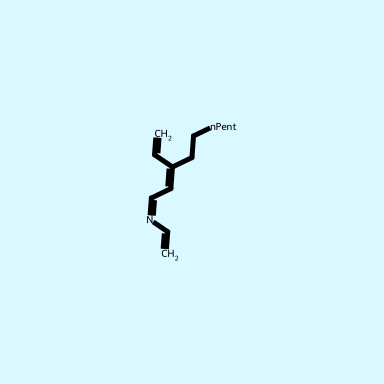 C=C/N=C\C=C(/C=C)CCCCCCC